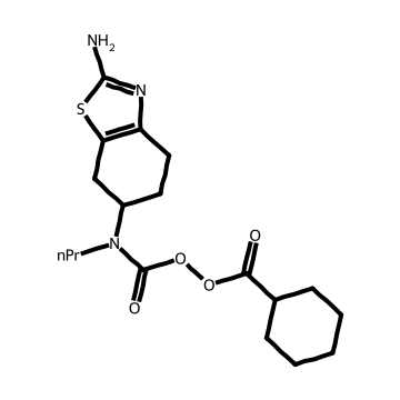 CCCN(C(=O)OOC(=O)C1CCCCC1)C1CCc2nc(N)sc2C1